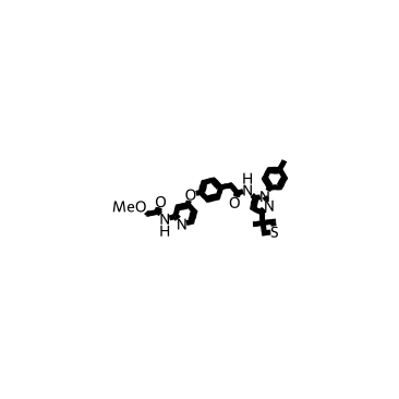 COCC(=O)Nc1cc(Oc2ccc(CC(=O)Nc3cc(C4(C)CSC4)nn3-c3ccc(C)cc3)cc2)ccn1